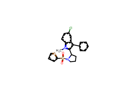 Cn1c(C2CCCN2S(=O)(=O)c2cccs2)c(-c2ccccc2)c2cc(Cl)ccc21